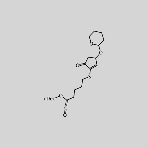 CCCCCCCCCCOC(=C=O)CCCCSC1=CC(OC2CCCCO2)CC1=O